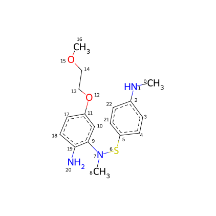 CNc1ccc(SN(C)c2cc(OCCOC)ccc2N)cc1